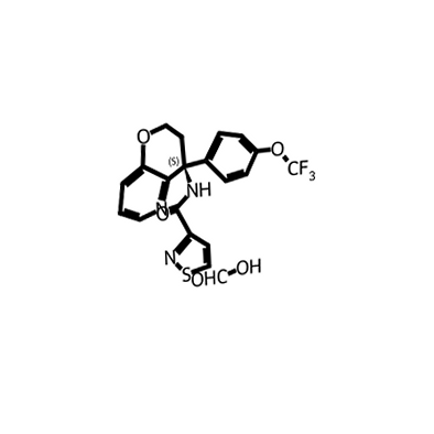 O=C(N[C@]1(c2ccc(OC(F)(F)F)cc2)CCOc2cccnc21)c1ccsn1.O=CO